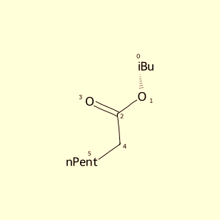 C[CH][C@@H](C)OC(=O)CCCCCC